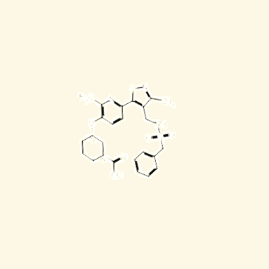 Cc1nc(-c2onc(C)c2CNS(=O)(=O)Cc2ccccc2)ccc1O[C@H]1CCC[C@H](C(=O)O)C1